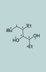 CCC(C)CC(CC)C(O)C(O)CC